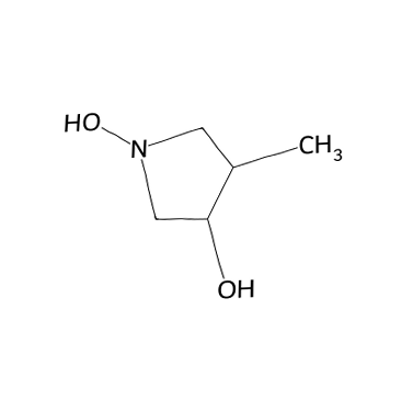 CC1CN(O)CC1O